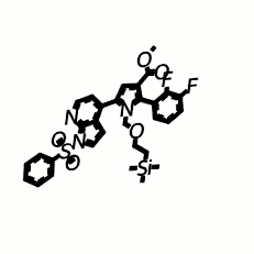 COC(=O)c1cc(-c2ccnc3c2ccn3S(=O)(=O)c2ccccc2)n(COCC[Si](C)(C)C)c1-c1cccc(F)c1F